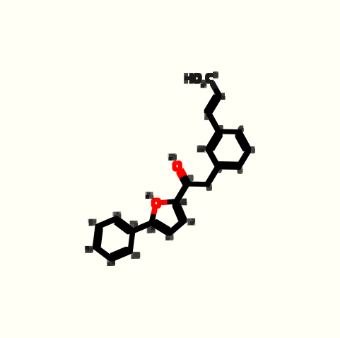 O=C(O)C=Cc1cccc(CC(=O)c2ccc(-c3ccccc3)o2)c1